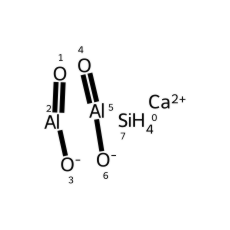 [Ca+2].[O]=[Al][O-].[O]=[Al][O-].[SiH4]